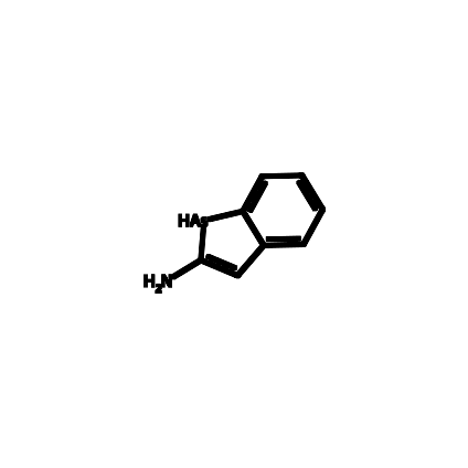 NC1=Cc2ccccc2[AsH]1